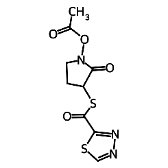 CC(=O)ON1CCC(SC(=O)c2nncs2)C1=O